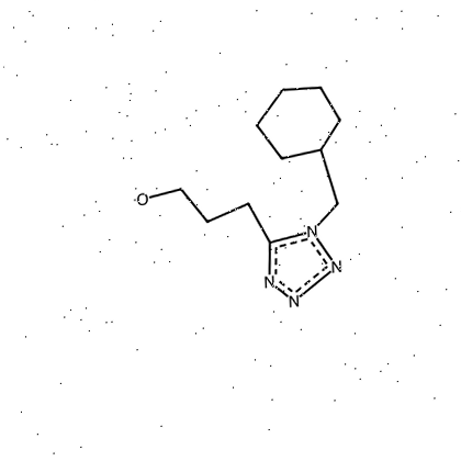 [O]CCCc1nnnn1CC1CCCCC1